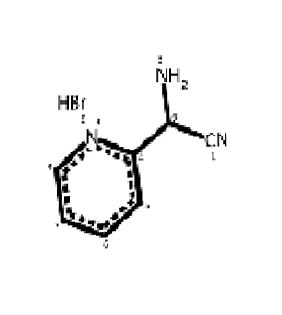 Br.N#CC(N)c1ccccn1